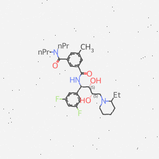 CCCN(CCC)C(=O)c1cc(C)cc(C(=O)NC(c2cc(F)cc(F)c2)[C@H](O)[C@@H](O)CN2CCCCC2CC)c1